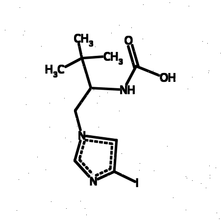 CC(C)(C)C(Cn1cnc(I)c1)NC(=O)O